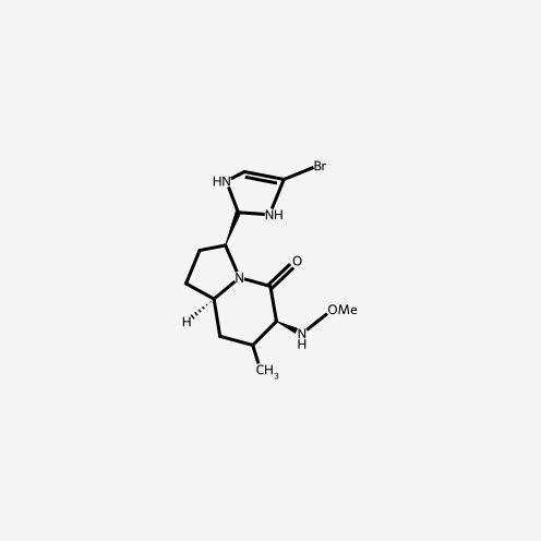 CON[C@@H]1C(=O)N2[C@H](CC[C@H]2C2NC=C(Br)N2)CC1C